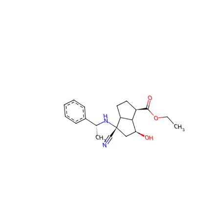 CCOC(=O)[C@@H]1CCC2C1[C@@H](O)C[C@]2(C#N)N[C@H](C)c1ccccc1